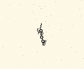 CCCCCc1ccc(OCc2ccc(-c3ccc(OC)c(F)c3)cc2)c(F)c1F